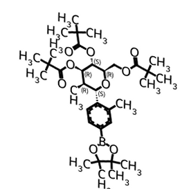 Cc1cc(B2OC(C)(C)C(C)(C)O2)ccc1[C@H]1O[C@H](COC(=O)C(C)(C)C)[C@@H](OC(=O)C(C)(C)C)[C@H](OC(=O)C(C)(C)C)[C@@H]1C